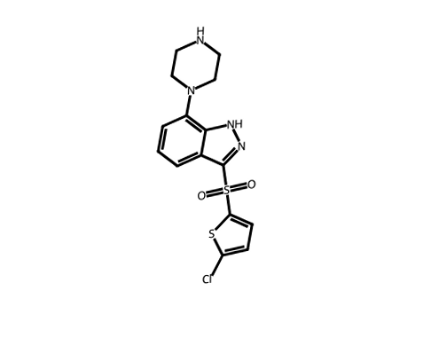 O=S(=O)(c1ccc(Cl)s1)c1n[nH]c2c(N3CCNCC3)cccc12